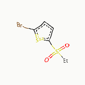 CCS(=O)(=O)c1ccc(Br)s1